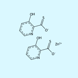 [O-]C(=S)c1ncccc1O.[O-]C(=S)c1ncccc1O.[Zn+2]